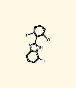 Fc1cccc(Cl)c1-c1nc2cccc(Cl)c2[nH]1